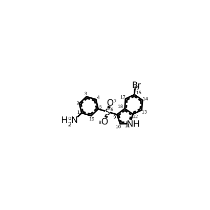 Nc1cccc(S(=O)(=O)c2c[nH]c3ccc(Br)cc23)c1